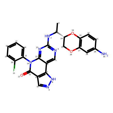 CC(Nc1ncc2c3[nH]ncc3c(=O)n(-c3ccccc3F)c2n1)[C@H]1COc2cc(N)ccc2O1